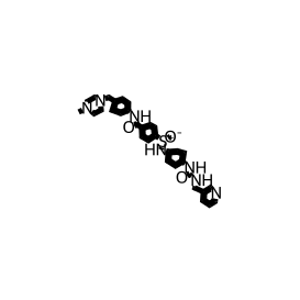 CN1CCN(Cc2ccc(NC(=O)c3ccc([S+]([O-])Nc4ccc(NC(=O)NCc5cccnc5)cc4)cc3)cc2)CC1